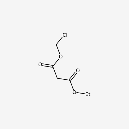 CCOC(=O)CC(=O)OCCl